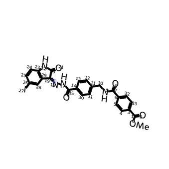 COC(=O)c1ccc(C(=O)NCc2ccc(C(=O)N/N=C3\C(=O)Nc4ccc(I)cc43)cc2)cc1